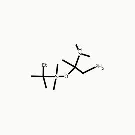 CCC(C)(C)[Si](C)(C)OC(C)(CP)[SiH](C)C